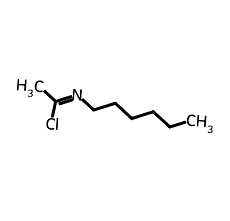 CCCCCCN=C(C)Cl